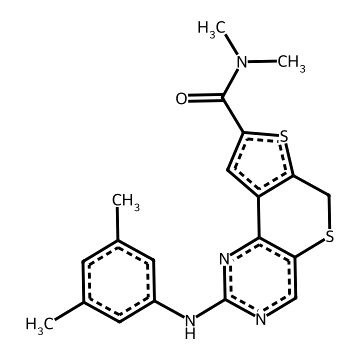 Cc1cc(C)cc(Nc2ncc3c(n2)-c2cc(C(=O)N(C)C)sc2CS3)c1